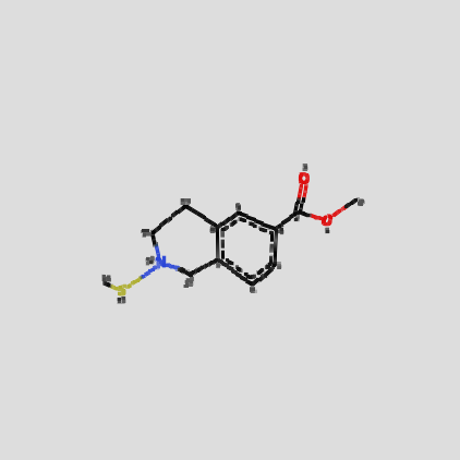 COC(=O)c1ccc2c(c1)CCN(SC)C2